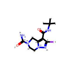 CC(C)(C)NC(=O)c1c(I)nn2c1CN(C(N)=O)CC2